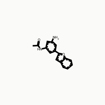 CC(=O)Nc1cc(N)cc(-c2cc3ccccc3o2)c1